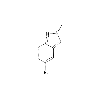 CCc1ccc2nn(C)cc2c1